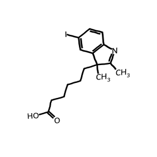 CC1=Nc2ccc(I)cc2C1(C)CCCCCC(=O)O